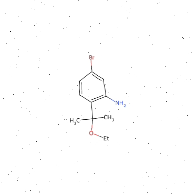 CCOC(C)(C)c1ccc(Br)cc1N